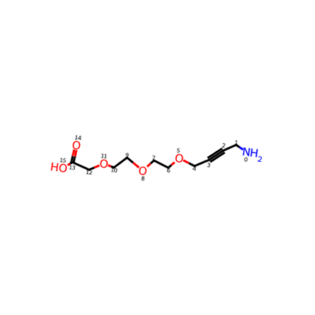 NCC#CCOCCOCCOCC(=O)O